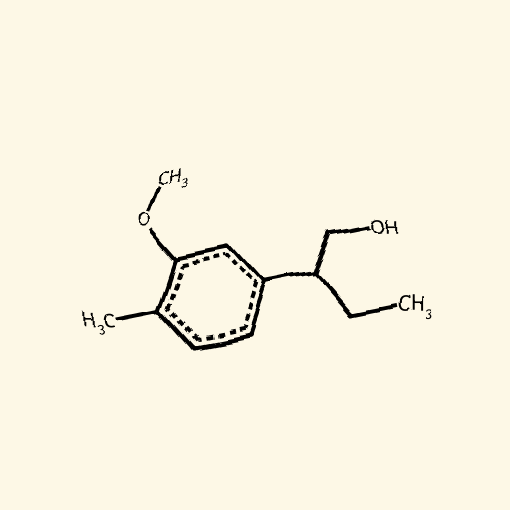 CCC(CO)c1ccc(C)c(OC)c1